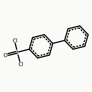 O=I(Cl)(Cl)c1ccc(-c2ccccc2)cc1